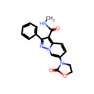 CNC(=O)c1c(-c2ccccc2)nn2cc(N3CCOC3=O)ccc12